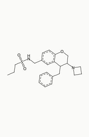 CCCS(=O)(=O)NCc1ccc2c(c1)C(Cc1ccccc1)C(N1CCC1)CO2